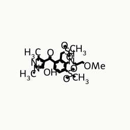 COCCNc1c(S(C)(=O)=O)ccc(C(=O)c2c(C)nn(C)c2O)c1CS(C)(=O)=O